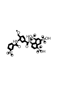 COCc1ccc(C(=O)Nc2ccc(S(=O)(=O)O)c3cc(S(=O)(=O)O)cc(S(=O)(=O)O)c23)cc1NC(=O)c1cccc([N+](=O)[O-])c1